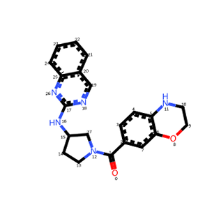 O=C(c1ccc2c(c1)OCCN2)N1CCC(Nc2ncc3ccccc3n2)C1